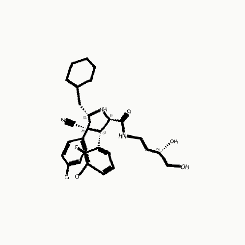 N#C[C@]1(c2ccc(Cl)cc2)[C@H](CC2CCCCC2)N[C@@H](C(=O)NCC[C@H](O)CO)[C@@H]1c1cccc(Cl)c1F